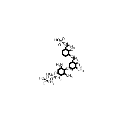 CC1CCCC(N)C1C.CC1CCCC(N)C1C.CC1CCCC(N)C1C.CS(=O)(=O)O.CS(=O)(=O)O.CS(=O)(=O)O